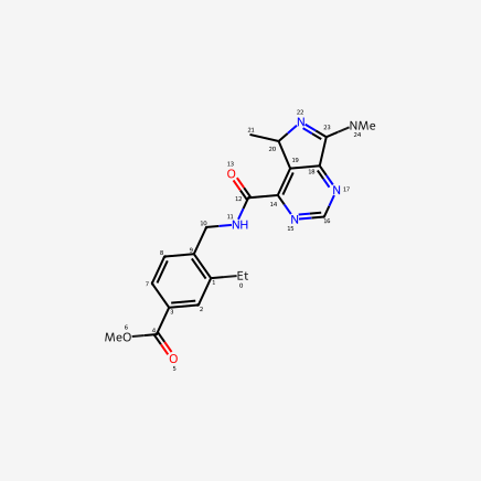 CCc1cc(C(=O)OC)ccc1CNC(=O)c1ncnc2c1C(C)N=C2NC